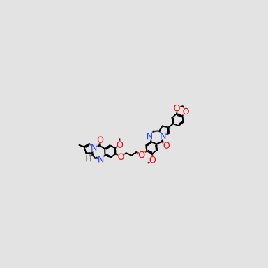 COc1cc2c(cc1OCCCOc1cc3c(cc1OC)C(=O)N1C=C(C)C[C@H]1C=N3)N=CC1CC(c3ccc4c(c3)OCO4)=CN1C2=O